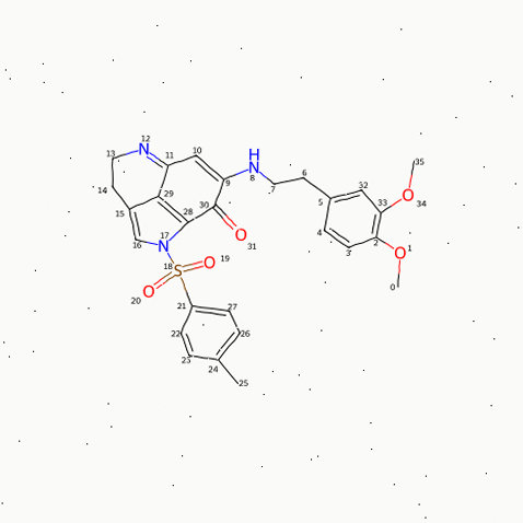 COc1ccc(CCNC2=CC3=NCCc4cn(S(=O)(=O)c5ccc(C)cc5)c(c43)C2=O)cc1OC